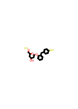 OC1CC(COS)O[C@@H](Oc2ccccc2Cc2ccc(S)cc2)C1